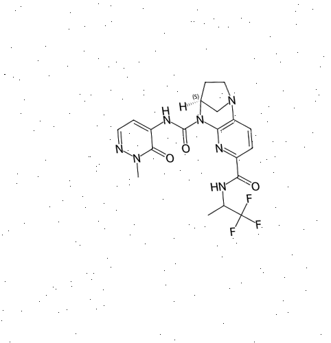 CC(NC(=O)c1ccc2c(n1)N(C(=O)Nc1ccnn(C)c1=O)[C@H]1CCN2C1)C(F)(F)F